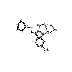 Cc1cnc2c(c1)c1c(n2CCc2ccncc2)CCN2CCCC12